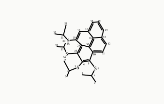 CC(C)Sc1c(SC(C)C)c2ccc3cccc4cc(SC(C)C)c(c1SC(C)C)c2c34